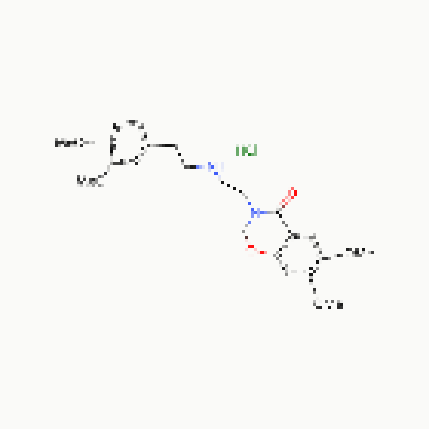 COc1ccc(CCNCCN2COc3cc(OC)c(OC)cc3C2=O)cc1OC.Cl